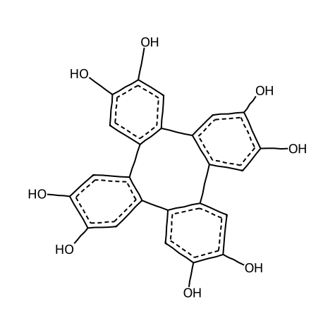 Oc1cc2c(cc1O)-c1cc(O)c(O)cc1-c1cc(O)c(O)cc1-c1cc(O)c(O)cc1-2